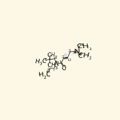 C=CCN(CC(C)(C)C)C(=O)/C=C/CN(C)C